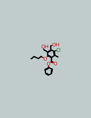 CCCCOc1c(CO)c(CO)c(Cl)c(C)c1C(=O)Oc1ccccc1